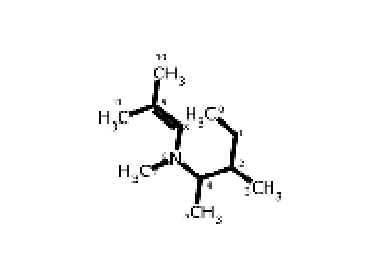 CCC(C)C(C)N(C)C=C(C)C